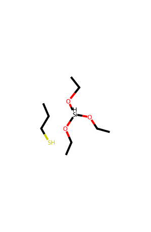 CCCS.CCO[SiH](OCC)OCC